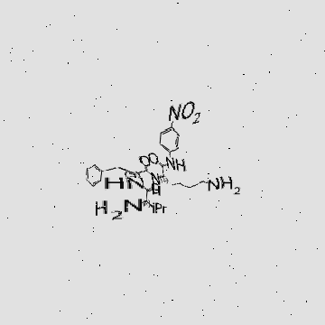 CC(C)[C@@H](N)C(=O)N[C@@H](Cc1ccccc1)C(=O)N[C@@H](CCCCN)C(=O)Nc1ccc([N+](=O)[O-])cc1